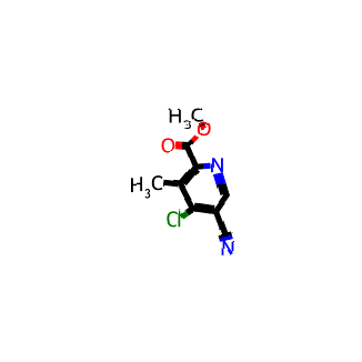 COC(=O)c1ncc(C#N)c(Cl)c1C